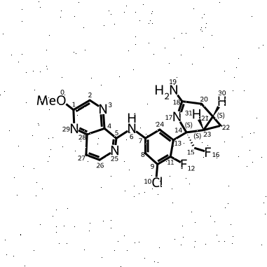 COc1cnc2c(Nc3cc(Cl)c(F)c([C@@]4(CF)N=C(N)C[C@@H]5C[C@@H]54)c3)nccc2n1